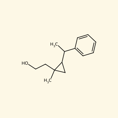 CC(c1ccccc1)C1CC1(C)CCO